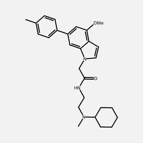 COc1cc(-c2ccc(C)cc2)cc2c1ccn2CC(=O)NCCN(C)C1CCCCC1